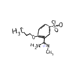 CCCOc1ccc(S(=O)(=O)Cl)cc1/C(N)=N/C